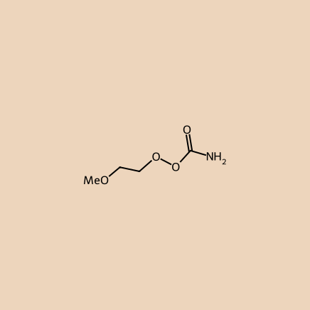 COCCOOC(N)=O